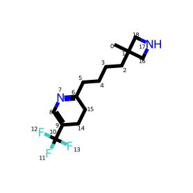 CC1(CCCCC2=NC=C(C(F)(F)F)CC2)CNC1